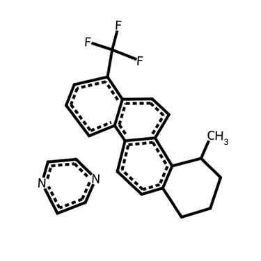 CC1CCCc2ccc3c(ccc4c(C(F)(F)F)cccc43)c21.c1cnccn1